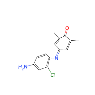 CC1=CC(=Nc2ccc(N)cc2Cl)C=C(C)C1=O